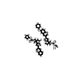 CCNC(=O)N1CC2(CCn3nc(-c4cnc5ccc(OC6CCCCC6)cc5c4)cc32)C1.C[C@@H]1CC2(CN(C(=O)OC3CCCC3)C2)c2cc(-c3cnc4ccccc4c3)nn21